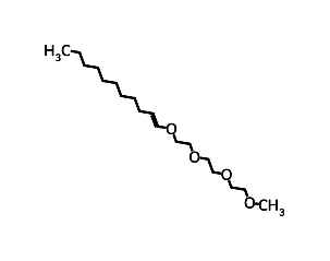 CCCCCCCCCC=COCCOCCOCCOC